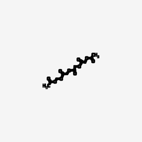 CC(=O)OCOC(=O)COC(=O)COC(=O)COC(C)=O